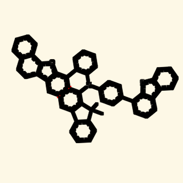 CC1(C)c2ccccc2-c2cccc(N(c3ccc(-c4cccc5c4sc4ccccc45)cc3)c3ccccc3-c3cccc4c3oc3c5ccccc5ccc43)c21